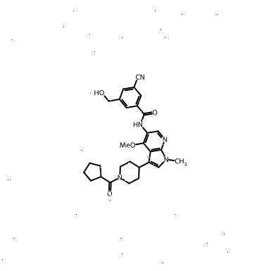 COc1c(NC(=O)c2cc(C#N)cc(CO)c2)cnc2c1c(C1CCN(C(=O)C3CCCC3)CC1)cn2C